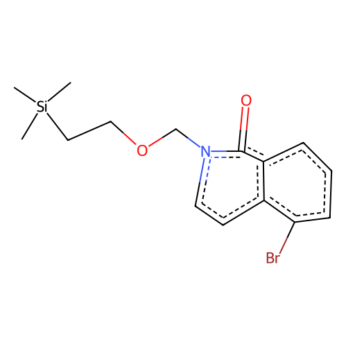 C[Si](C)(C)CCOCn1ccc2c(Br)cccc2c1=O